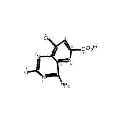 Nc1nc(Cl)nc2c(Cl)cc(C(=O)O)nc12